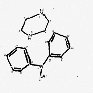 C1CNCCN1.CC(C)(C)N(c1ccccc1)c1ccccc1